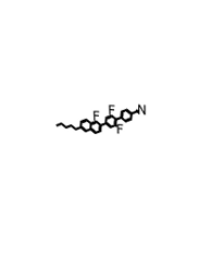 CCCCCc1ccc2c(F)c(-c3cc(F)c(-c4ccc(C#N)cc4)c(F)c3)ccc2c1